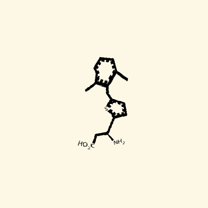 Cc1cccc(C)c1-c1ccc([C@@H](N)CC(=O)O)s1